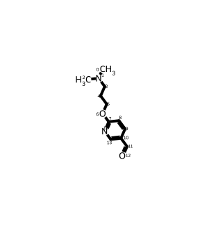 CN(C)CCCOc1ccc(C=O)cn1